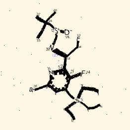 CCS(CC)(CC)c1cc(Br)nc(/C(CF)=N/[S+]([O-])C(C)(C)C)c1F